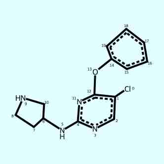 Clc1cnc(NC2CCNC2)nc1Oc1ccccc1